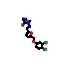 CN(N=Cc1ccc(COc2ccc(Cl)c(Cl)c2)o1)C(N)=S